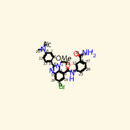 COCCn1c(-c2ccc(N(C)C(C)=O)cc2)nc2cc(Br)cc(C(=O)Nc3cccc(C(N)=O)c3)c21